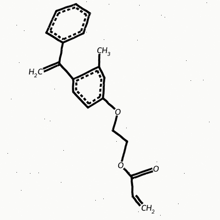 C=CC(=O)OCCOc1ccc(C(=C)c2ccccc2)c(C)c1